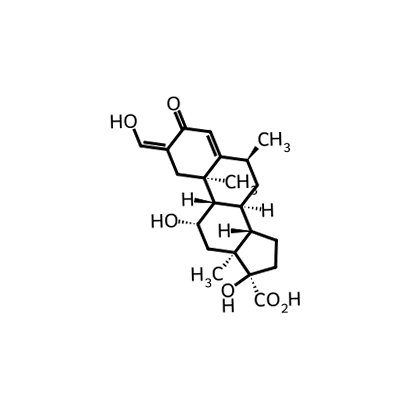 C[C@H]1C[C@@H]2[C@H]([C@@H](O)C[C@@]3(C)[C@H]2CC[C@]3(O)C(=O)O)[C@@]2(C)C/C(=C/O)C(=O)C=C12